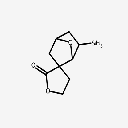 O=C1OCCC12CC1CC([SiH3])C2O1